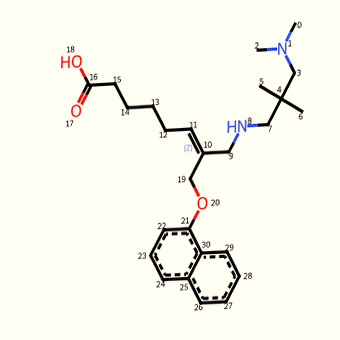 CN(C)CC(C)(C)CNC/C(=C/CCCCC(=O)O)COc1cccc2ccccc12